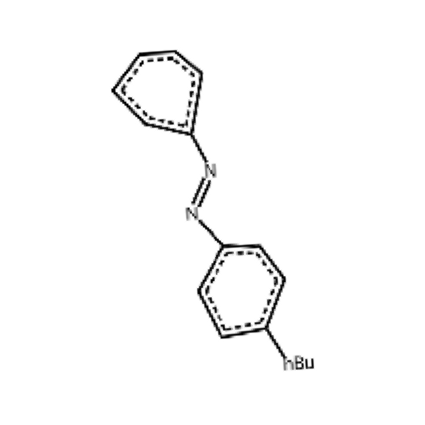 CCCCc1ccc(N=Nc2ccccc2)cc1